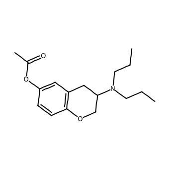 CCCN(CCC)C1COc2ccc(OC(C)=O)cc2C1